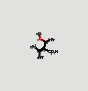 CCCC(CCC)=C(C(=O)O)C(CCC)OCC